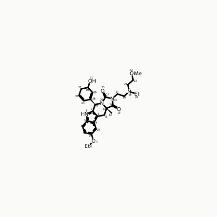 CCOc1ccc2[nH]c3c(c2c1)C[C@@]1(C)C(=O)N(CCN(CC)CCOC)C(=O)N1[C@@H]3C1=CC(O)CC=C1